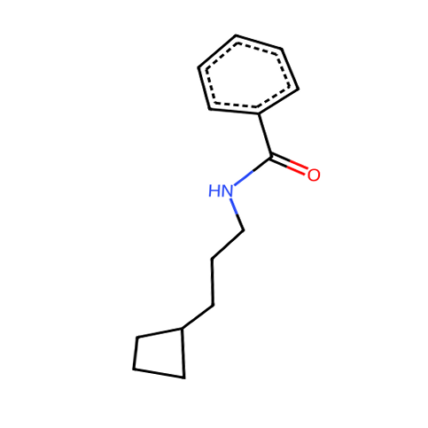 O=C(NCCCC1CCC1)c1ccccc1